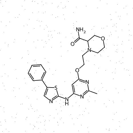 Cc1nc(Nc2ncc(-c3ccccc3)s2)cc(OCCN2CCOCC2C(N)=O)n1